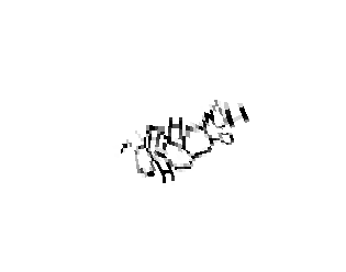 CC[C@H]1CC[C@H]2[C@@H]3C=CC4=CC(=O)/C(=C\O)C[C@]4(C)[C@H]3CC[C@]12C